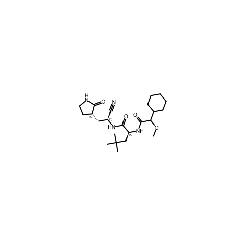 COC(C(=O)N[C@@H](CC(C)(C)C)C(=O)N[C@H](C#N)C[C@@H]1CCNC1=O)C1CCCCC1